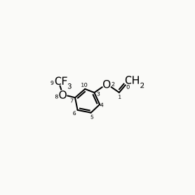 C=COc1cccc(OC(F)(F)F)c1